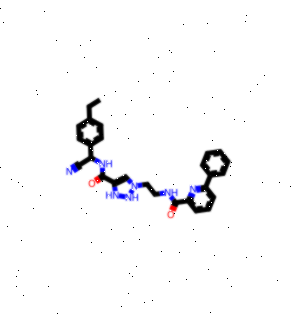 CCc1ccc(C(C#N)NC(=O)C2=CN(CCNC(=O)c3cccc(-c4ccccc4)n3)NN2)cc1